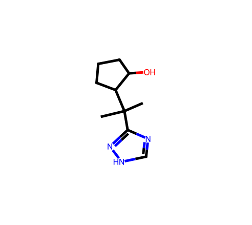 CC(C)(c1nc[nH]n1)C1CCCC1O